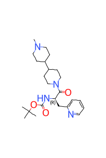 CN1CCC(C2CCN(C(=O)[C@@H](Cc3ccccn3)NC(=O)OC(C)(C)C)CC2)CC1